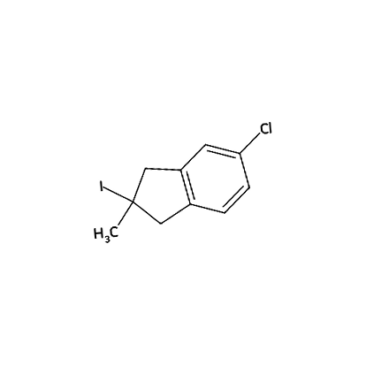 CC1(I)Cc2ccc(Cl)cc2C1